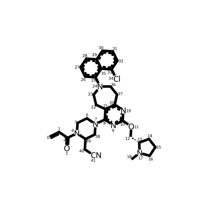 C=CC(=O)N1CCN(c2nc(OC[C@@H]3CCCN3C)nc3c2CCN(c2cccc4cccc(Cl)c24)CC3)CC1CC#N